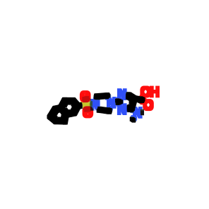 CN(C)c1nc(N2CCN(S(=O)(=O)c3ccc4ccccc4c3)CC2)ncc1C(=O)O